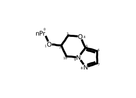 CCCOC1COc2ccnn2C1